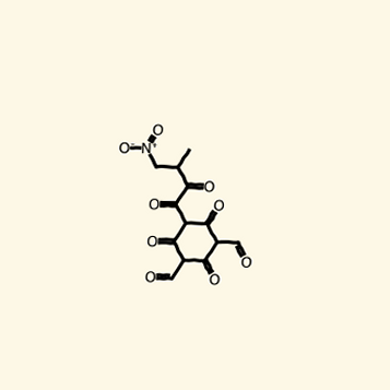 CC(C[N+](=O)[O-])C(=O)C(=O)C1C(=O)C(C=O)C(=O)C(C=O)C1=O